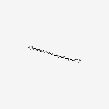 NCCOCCOCCOCCOCCOCCOCCOCCC(=O)O